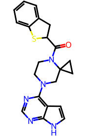 O=C(C1Cc2ccccc2S1)N1CCN(c2ncnc3[nH]ccc23)CC12CC2